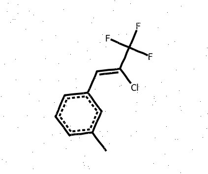 Cc1cccc(C=C(Cl)C(F)(F)F)c1